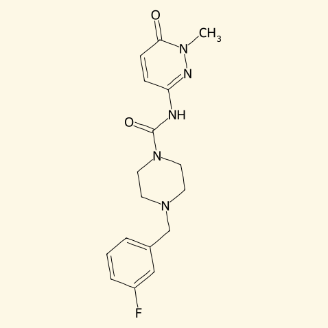 Cn1nc(NC(=O)N2CCN(Cc3cccc(F)c3)CC2)ccc1=O